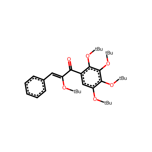 CC(C)(C)OC(=Cc1ccccc1)C(=O)c1cc(OC(C)(C)C)c(OC(C)(C)C)c(OC(C)(C)C)c1OC(C)(C)C